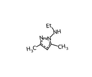 CCNn1nc(C)cc1C